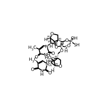 Cc1cn([C@@H]2O[C@@]3(COP(=O)(S)O[C@H]4[C@H]5OC[C@]4(COP(=O)(O)S)O[C@H]5n4cc(C)c(=O)[nH]c4=O)CO[C@@H]2[C@@H]3O)c(=O)[nH]c1=O